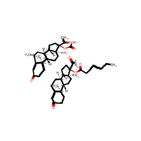 CC(=O)O[C@]1(C(C)=O)CC[C@H]2[C@@H]3C[C@H](C)C4=CC(=O)CC[C@]4(C)[C@H]3CC[C@@]21C.CCCCCC(=O)O[C@]1(C(C)=O)CC[C@H]2[C@@H]3CCC4=CC(=O)CC[C@]4(C)[C@H]3CC[C@@]21C